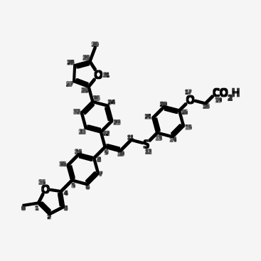 Cc1ccc(-c2ccc(C(=CCSc3ccc(OCC(=O)O)cc3)c3ccc(-c4ccc(C)o4)cc3)cc2)o1